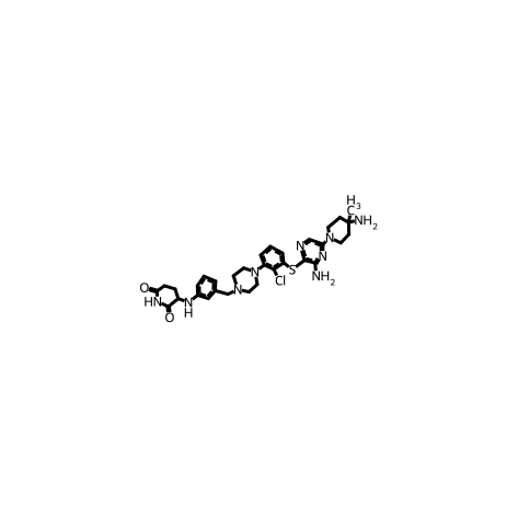 CC1(N)CCN(c2cnc(Sc3cccc(N4CCN(Cc5cccc(NC6CCC(=O)NC6=O)c5)CC4)c3Cl)c(N)n2)CC1